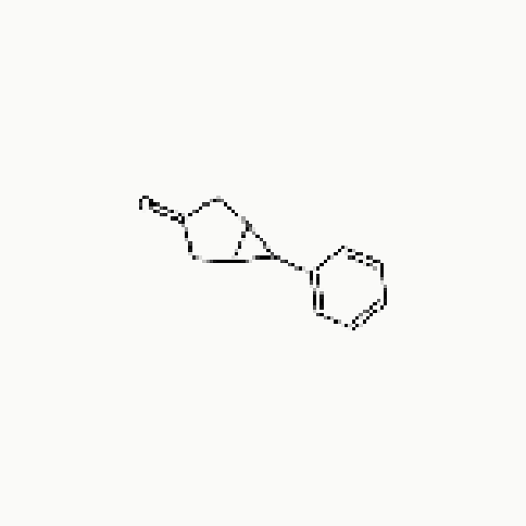 O=C1CC2C(C1)C2c1ccccc1